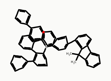 CC1(C)c2ccccc2-c2cccc(-c3ccc(N(c4ccc(-c5ccccc5)cc4)c4cccc(-c5ccccc5)c4-c4ccccc4-c4ccccc4)cc3)c21